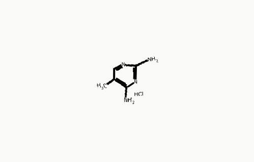 Cc1cnc(N)nc1N.Cl